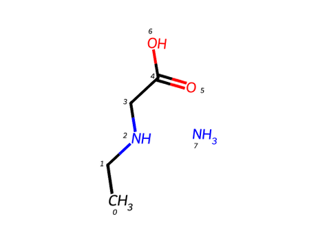 CCNCC(=O)O.N